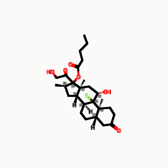 CCCCC(=O)O[C@]1(C(=O)CO)[C@H](C)C[C@H]2[C@@H]3CC[C@H]4CC(=O)CC[C@]4(C)[C@@]3(F)[C@@H](O)C[C@@]21C